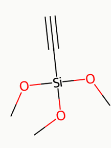 C#C[Si](OC)(OC)OC